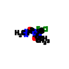 Cc1nc2c(-c3ccc(Cl)cc3F)nc(N3CCOC(c4cnn(C)n4)C3)nc2c(=O)n1C